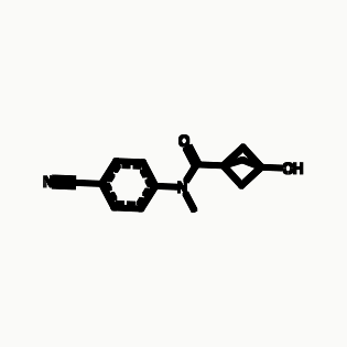 CN(C(=O)C12CC(O)(C1)C2)c1ccc(C#N)cc1